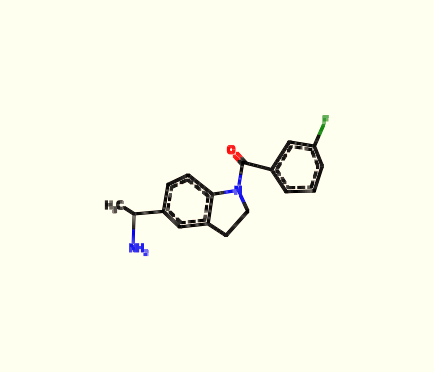 CC(N)c1ccc2c(c1)CCN2C(=O)c1cccc(F)c1